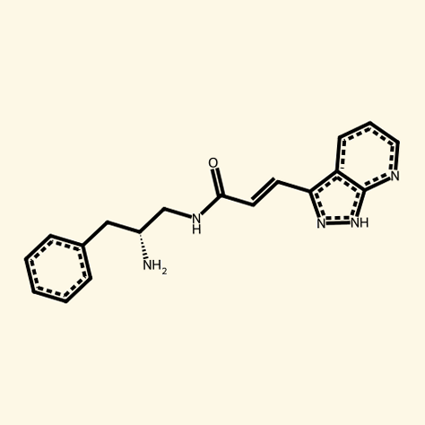 N[C@@H](CNC(=O)/C=C/c1n[nH]c2ncccc12)Cc1ccccc1